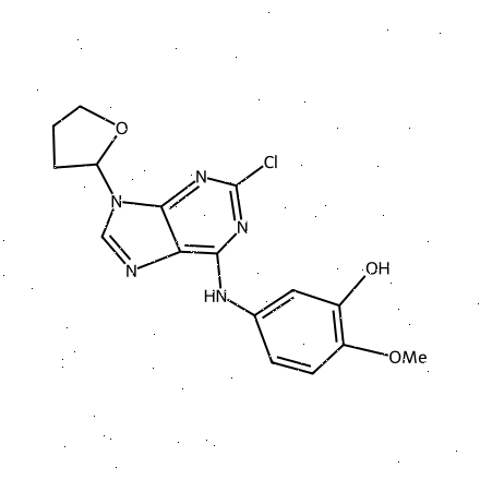 COc1ccc(Nc2nc(Cl)nc3c2ncn3C2CCCO2)cc1O